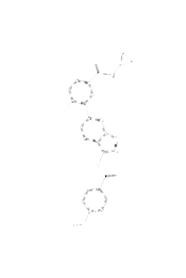 COc1ccc(C(=O)Nc2n[nH]c3nc(-c4cc(C(=O)NC5CC5)ccc4C)ccc23)cc1